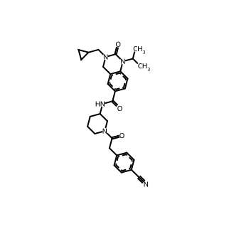 CC(C)N1C(=O)N(CC2CC2)Cc2cc(C(=O)NC3CCCN(C(=O)Cc4ccc(C#N)cc4)C3)ccc21